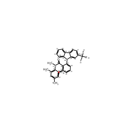 Cc1cc(C)c(N(C)C(=O)c2c(C=O)cccc2-n2c3ccccc3c3ccc(C(F)(F)F)cc32)c(C)c1